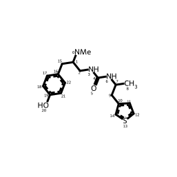 CNC(CNC(=O)NC(C)Cc1ccsc1)Cc1ccc(O)cc1